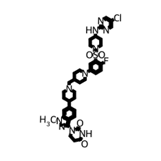 Cn1nc(N2CCC(=O)NC2=O)c2ccc(C3CCN(CC4CCN(c5ccc(F)c(S(=O)(=O)N6CCC(Nc7ncc(Cl)cn7)CC6)c5)CC4)CC3)cc21